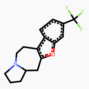 FC(F)(F)c1ccc2c3c(oc2c1)CC1CCCN1CC3